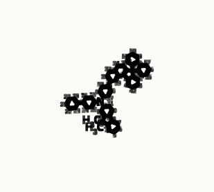 CC1(C)c2ccccc2-c2ccc(N(c3ccc(-c4ccccc4)cc3)c3ccc(-c4ccc5ccc6c(c5c4)-c4ccccc4C6(c4ccccc4)c4ccccc4)cc3)cc21